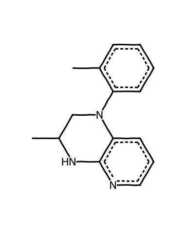 Cc1ccccc1N1CC(C)Nc2ncccc21